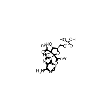 CCCC(=O)[C@@]1(O)[C@H](O)[C@@H](COP(=O)(O)O)O[C@@]1(C(=O)CCC)n1cnc2c(N)ncnc21